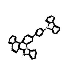 c1ccc2c(c1)ccc1c2c2ccc(-c3ccc(-n4c5ccccc5c5ccccc54)cc3)cc2n2c3ccccc3nc12